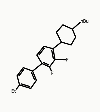 CCCCC1CCC(c2ccc(-c3ccc(CC)cc3)c(F)c2F)CC1